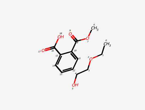 CCOCCO.COC(=O)c1ccccc1C(=O)O